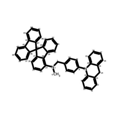 CN(Cc1ccc(N2c3ccccc3Cc3ccccc32)cc1)c1cccc2c1-c1ccccc1C21c2ccccc2-c2ccccc21